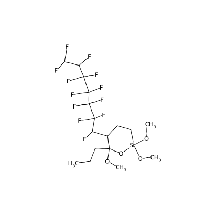 CCCC1(OC)O[Si](OC)(OC)CCC1C(F)C(F)(F)C(F)(F)C(F)(F)C(F)(F)C(F)C(F)F